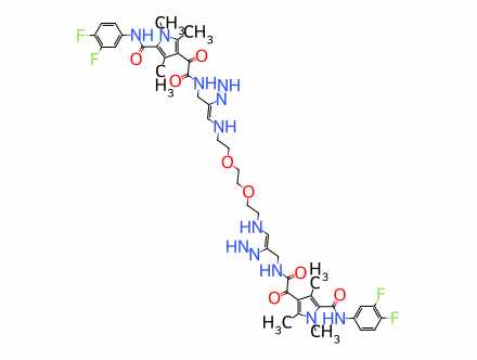 Cc1c(C(=O)C(=O)NC/C(=C/NCCOCCOCCN/C=C(/CNC(=O)C(=O)c2c(C)c(C(=O)Nc3ccc(F)c(F)c3)n(C)c2C)N=N)N=N)c(C)n(C)c1C(=O)Nc1ccc(F)c(F)c1